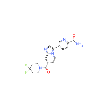 NC(=O)c1ccc(-c2cnc3cc(C(=O)N4CCC(F)(F)CC4)ccn23)cn1